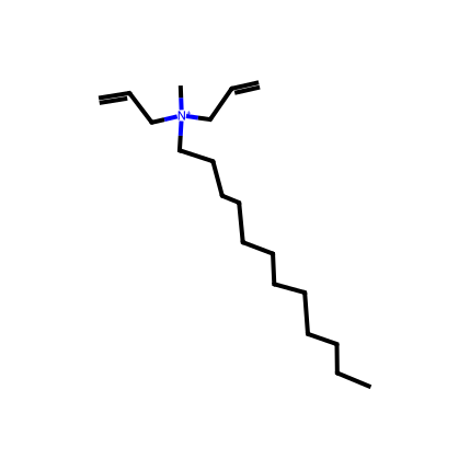 C=CC[N+](C)(CC=C)CCCCCCCCCCCC